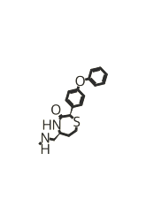 CNC[C@@H]1CCS[C@H](c2ccc(Oc3ccccc3)cc2)C(=O)N1